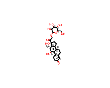 C[C@]12CCC(=O)C=C1CC[C@@H]1[C@@H]2[C@@H](O)C[C@@]2(C)[C@H]1CC[C@]2(O)C(=O)COC1O[C@H](CO)[C@H](O)[C@H](O)[C@H]1O